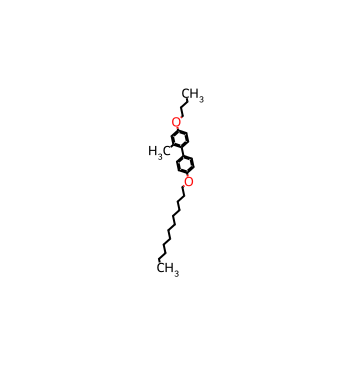 CCCCCCCCCCCCOc1ccc(-c2ccc(OCCCC)cc2C)cc1